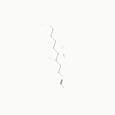 CC(=O)[O-].CCCCCCCCCCCCCCCCCCN=CC(=O)[O-].[Na+].[Na+]